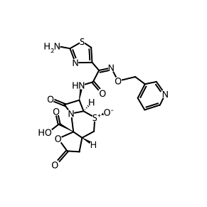 Nc1nc(/C(=N/OCc2cccnc2)C(=O)N[C@@H]2C(=O)N3[C@@H]2[S@@+]([O-])C[C@@H]2CC(=O)O[C@@]23C(=O)O)cs1